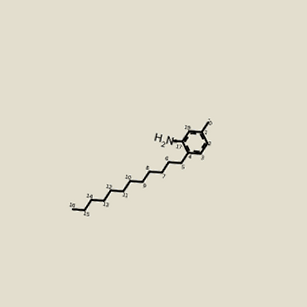 [CH2]c1ccc(CCCCCCCCCCCC)c(N)c1